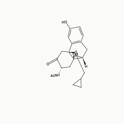 CC(=O)N[C@H]1C[C@@]2(O)[C@H]3Cc4ccc(O)cc4[C@@]2(CCN3CC2CC2)CC1=O